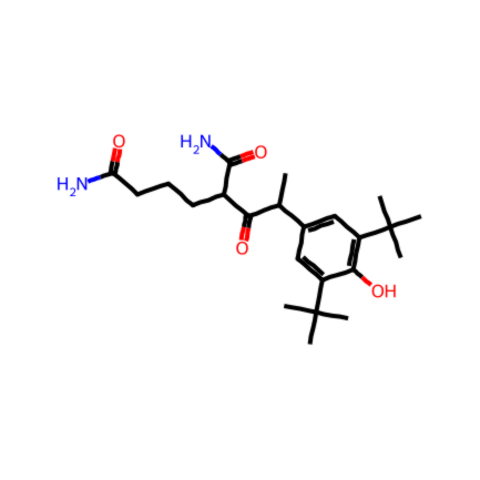 CC(C(=O)C(CCCC(N)=O)C(N)=O)c1cc(C(C)(C)C)c(O)c(C(C)(C)C)c1